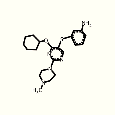 CN1CCN(c2ncc(Sc3cccc(N)c3)c(OC3CCCCC3)n2)CC1